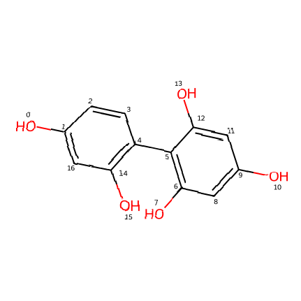 Oc1ccc(-c2c(O)cc(O)cc2O)c(O)c1